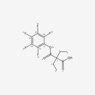 CCC(CC)(C(=O)O)C(=O)Oc1c(F)c(F)c(F)c(F)c1F